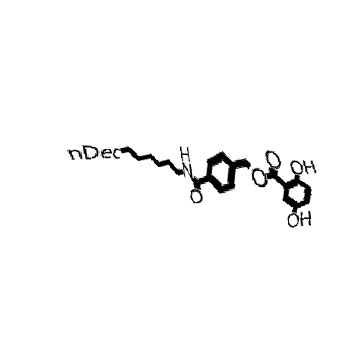 CCCCCCCCCCCCCCCCNC(=O)c1ccc(COC(=O)c2cc(O)ccc2O)cc1